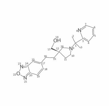 CC(C)(c1ccccn1)N1CC[C@](CO)(CCc2ccc3nonc3c2)C1